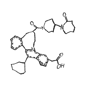 O=C(O)c1ccc2c(C3CCCCC3)c3n(c2c1)CC(C(=O)N1CCC(N2CCCCC2=O)CC1)Cc1ccccc1-3